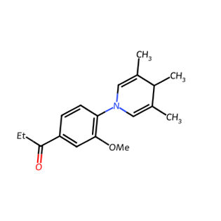 CCC(=O)c1ccc(N2C=C(C)C(C)C(C)=C2)c(OC)c1